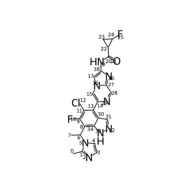 Cc1nccn1C(C)c1c(F)c(Cl)c(-c2cn3cc(NC(=O)C4CC4F)nc3cn2)c2cn[nH]c12